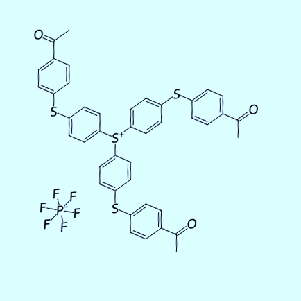 CC(=O)c1ccc(Sc2ccc([S+](c3ccc(Sc4ccc(C(C)=O)cc4)cc3)c3ccc(Sc4ccc(C(C)=O)cc4)cc3)cc2)cc1.F[P-](F)(F)(F)(F)F